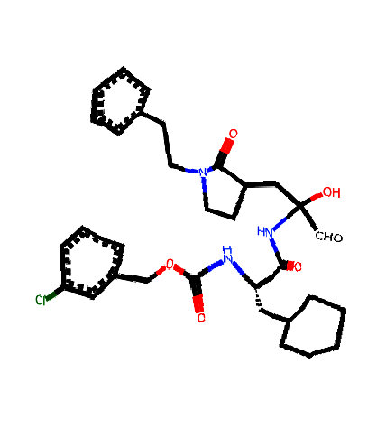 O=CC(O)(CC1CCN(CCc2ccccc2)C1=O)NC(=O)[C@H](CC1CCCCC1)NC(=O)OCc1cccc(Cl)c1